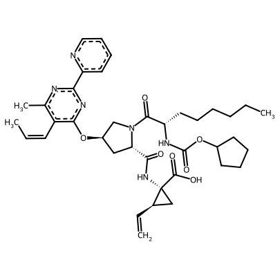 C=C[C@@H]1C[C@]1(NC(=O)[C@@H]1C[C@@H](Oc2nc(-c3ccccn3)nc(C)c2/C=C\C)CN1C(=O)[C@H](CCCCCC)NC(=O)OC1CCCC1)C(=O)O